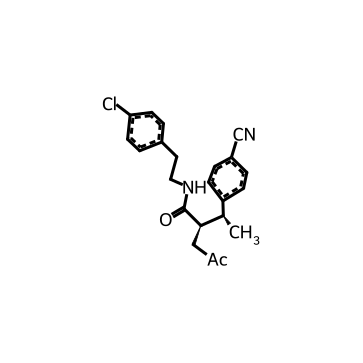 CC(=O)C[C@@H](C(=O)NCCc1ccc(Cl)cc1)[C@H](C)c1ccc(C#N)cc1